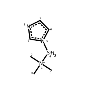 C[N+](C)(C)[SiH2]n1ccnc1